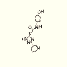 O=C(CSc1nc(-c2cccnc2)n[nH]1)Nc1ccc(O)cc1